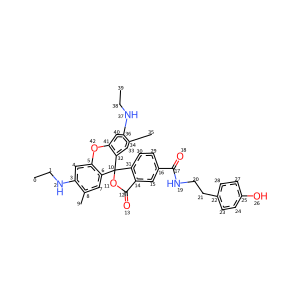 CCNc1cc2c(cc1C)C1(OC(=O)c3cc(C(=O)NCCc4ccc(O)cc4)ccc31)c1cc(C)c(NCC)cc1O2